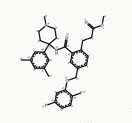 COC(=O)CCc1ccc(COc2cc(F)ccc2F)cc1C(=O)NC1(c2cc(C)cc(C)c2)CCN(C)CC1